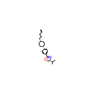 C=CCCC[C@H]1CC[C@H](c2ccc(C3=N[C@@H](C(C)C)CO3)cc2)CC1